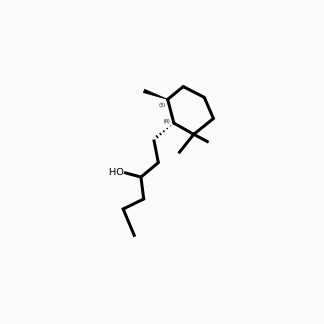 CCCC(O)CC[C@@H]1[C@@H](C)CCCC1(C)C